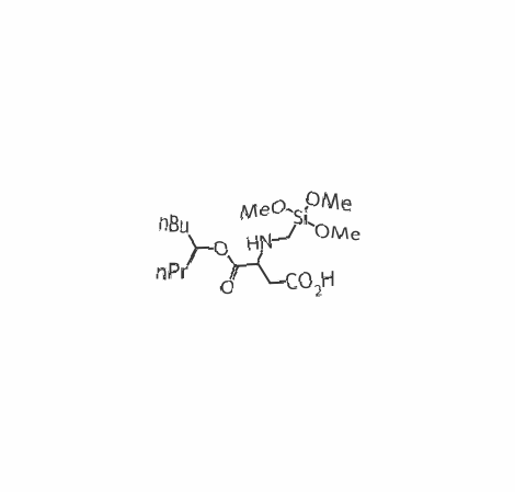 CCCCC(CCC)OC(=O)C(CC(=O)O)NC[Si](OC)(OC)OC